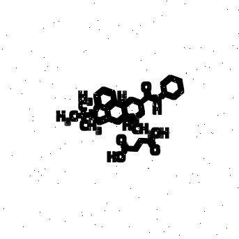 CN1C[C@H](C(=O)NC2CCCCC2)C[C@@H]2c3cccc4c3c(cn4C(C)(C)C)C[C@H]21.O=C(O)CCC(=O)O